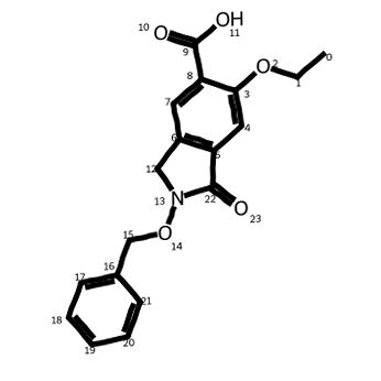 CCOc1cc2c(cc1C(=O)O)CN(OCc1ccccc1)C2=O